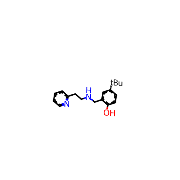 CC(C)(C)c1ccc(O)c(CNCCc2ccccn2)c1